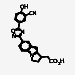 N#Cc1cc(-c2nc(-c3ccc4c(c3)cc3n4CCC3CC(=O)O)no2)ccc1O